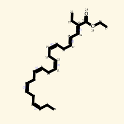 CC/C=C\C/C=C\C/C=C\C/C=C\C/C=C\C/C=C/C=C(\CC)C(=O)OCC